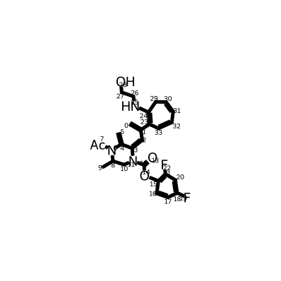 C=C(/C=C1\C(=C)N(C(C)=O)C(C)CN1C(=O)Oc1ccc(F)cc1F)C1=C(NCCO)CC=CC=C1